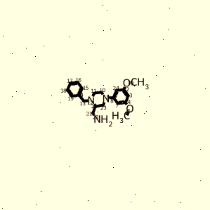 COc1cc(OC)cc(N2CCN(Cc3ccccc3)C(CN)C2)c1